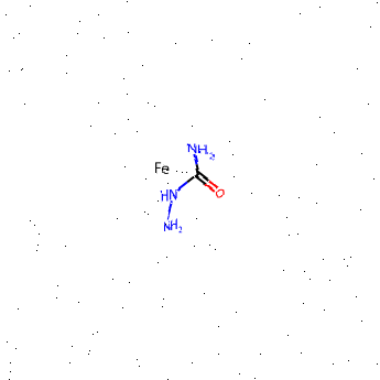 NNC(N)=O.[Fe]